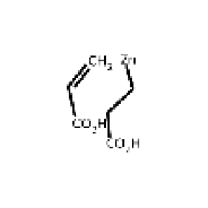 C=CC(=O)O.O=C(O)C[CH2][Zn]